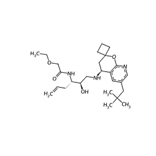 C=CC[C@H](NC(=O)COCC)[C@H](O)CN[C@H]1CC2(CCC2)Oc2ncc(CC(C)(C)C)cc21